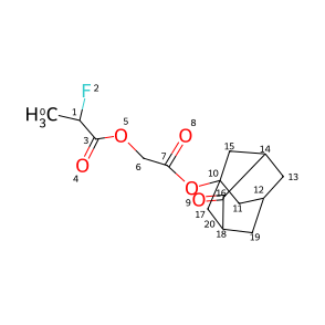 CC(F)C(=O)OCC(=O)OC12CC3CC(C1)C(=O)C(C3)C2